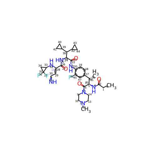 CCC(=O)N[C@@H](C(=O)N1CCN(C)CC1)[C@@H](C)c1ccc(NC(=O)[C@@H](NC(=O)/C(=C/C=N)NC2CC2(F)F)C(C2CC2)C2CC2)c(F)c1